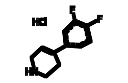 Cl.Fc1ccc(C2=CCNCC2)cc1F